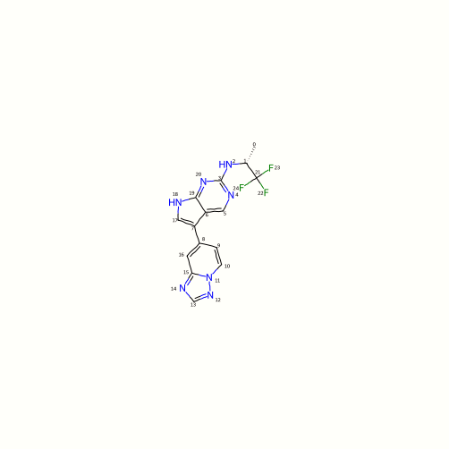 C[C@@H](Nc1ncc2c(-c3ccn4ncnc4c3)c[nH]c2n1)C(F)(F)F